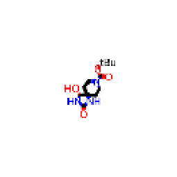 CC(C)(C)OC(=O)N1CCC2(CC1)NC(=O)NC2O